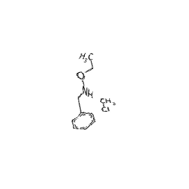 CCONCc1ccccc1.CCl